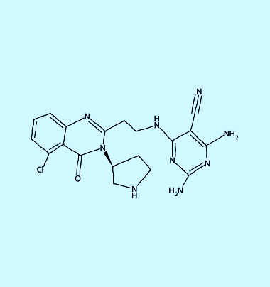 N#Cc1c(N)nc(N)nc1NCCc1nc2cccc(Cl)c2c(=O)n1[C@H]1CCNC1